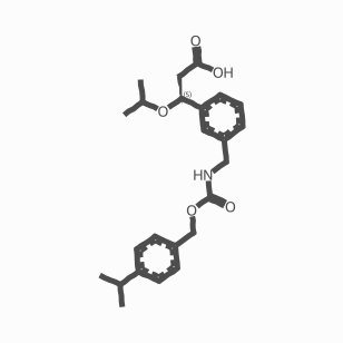 CC(C)O[C@@H](CC(=O)O)c1cccc(CNC(=O)OCc2ccc(C(C)C)cc2)c1